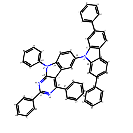 c1ccc(-c2ccc3c4ccc(-c5ccccc5)cc4n(-c4ccc5c(c4)c4c(-c6ccccc6)nc(-c6ccccc6)nc4n5-c4ccccc4)c3c2)cc1